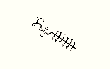 NC(=O)COS(=O)(=O)CCC(F)(F)C(F)(F)C(F)(F)C(F)(F)C(F)(F)C(F)(F)F